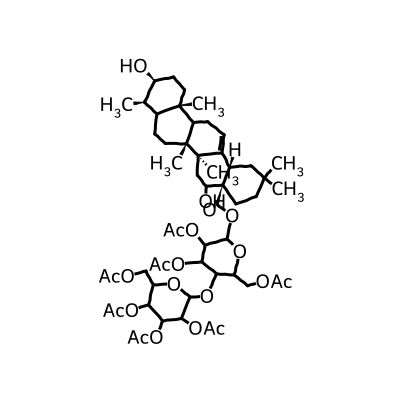 CC(=O)OCC1OC(OC2C(COC(C)=O)OC(OC(=O)[C@]34CCC(C)(C)C[C@H]3C3=CCC5[C@@]6(C)CC[C@H](O)[C@H](C)C6CC[C@@]5(C)[C@]3(C)CC4O)C(OC(C)=O)C2OC(C)=O)C(OC(C)=O)C(OC(C)=O)C1OC(C)=O